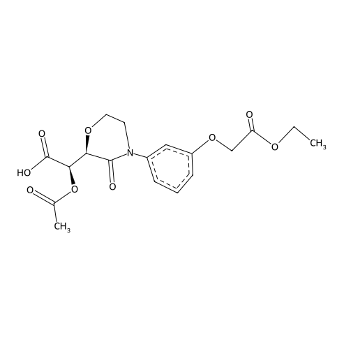 CCOC(=O)COc1cccc(N2CCO[C@H]([C@@H](OC(C)=O)C(=O)O)C2=O)c1